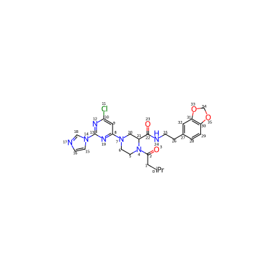 CC(C)CC(=O)N1CCN(c2cc(Cl)nc(-n3ccnc3)n2)CC1C(=O)NCCc1ccc2c(c1)OCO2